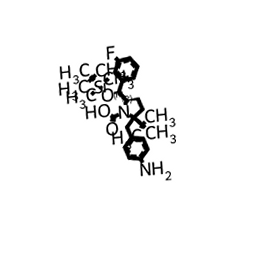 CC(C)(C)C1(Cc2ccc(N)cc2)CC[C@H]([C@H](O[Si](C)(C)C(C)(C)C)c2cccc(F)c2)N1C(=O)O